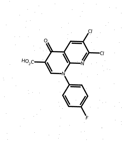 O=C(O)c1cn(-c2ccc(F)cc2)c2nc(Cl)c(Cl)cc2c1=O